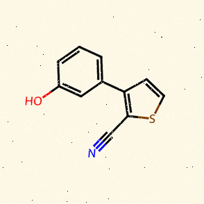 N#Cc1sccc1-c1cccc(O)c1